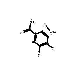 NC(=O)c1ccc(Cl)c(Cl)c1.O=CO